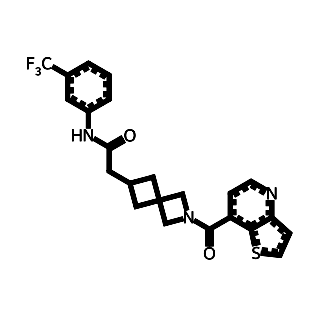 O=C(CC1CC2(C1)CN(C(=O)c1ccnc3ccsc13)C2)Nc1cccc(C(F)(F)F)c1